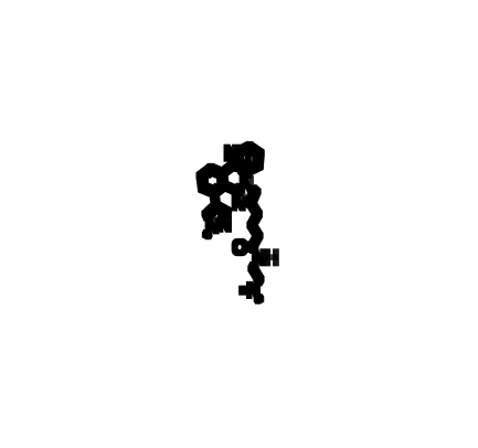 CN(C)CCNC(=O)CCCc1cn(-c2ccccc2)c(-c2c(C(N)=O)cccc2-c2cnn(C)c2)n1